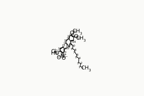 CCCCCCCCCCCC1=[N+](Cc2ccc(O)c([N+](=O)[O-])c2)CCc2cc(OC)c(OC)cc21.[Cl-]